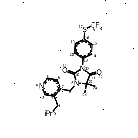 CC(C)Cc1cnccc1CN1C(=O)N(c2ccc(SC(F)(F)F)cc2)C(=O)C1(C)C